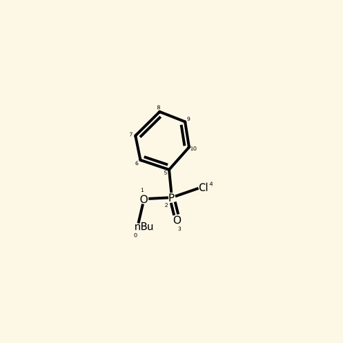 CCCCOP(=O)(Cl)c1ccccc1